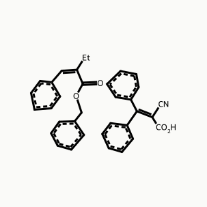 CCC(=Cc1ccccc1)C(=O)OCc1ccccc1.N#CC(C(=O)O)=C(c1ccccc1)c1ccccc1